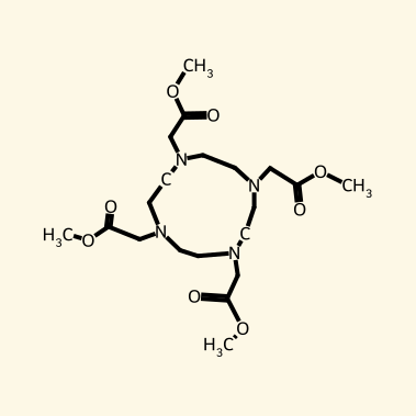 COC(=O)CN1CCN(CC(=O)OC)CCN(CC(=O)OC)CCN(CC(=O)OC)CC1